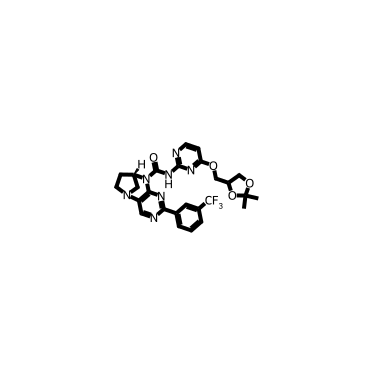 CC1(C)OCC(COc2ccnc(NC(=O)N3c4nc(-c5cccc(C(F)(F)F)c5)ncc4N4CC[C@H]3C4)n2)O1